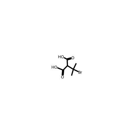 CC(C)(Br)C(C(=O)O)C(=O)O